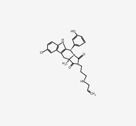 C=CCNCCCN1C(=O)N2[C@H](c3cccc(O)c3)c3[nH]c4ccc(Cl)cc4c3C[C@@]2(C)C1=O